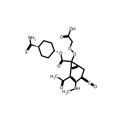 CNC1=C(C(C)=O)C2=C(CC1=C=O)C2(OOCC(=O)O)C(=O)O[C@H]1CC[C@H](C(N)=S)CC1